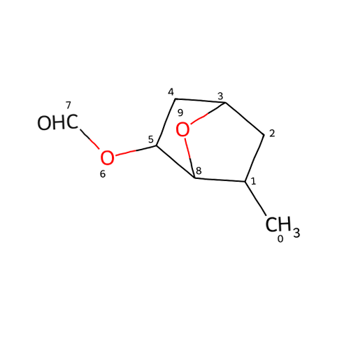 CC1CC2CC(OC=O)C1O2